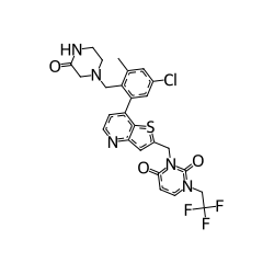 Cc1cc(Cl)cc(-c2ccnc3cc(Cn4c(=O)ccn(CC(F)(F)F)c4=O)sc23)c1CN1CCNC(=O)C1